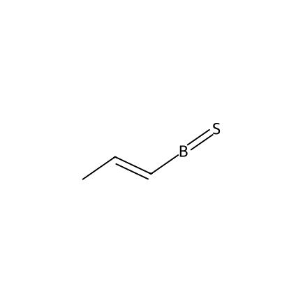 CC=CB=S